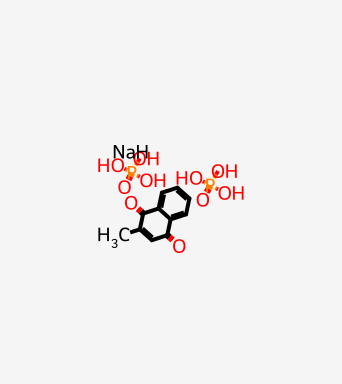 CC1=CC(=O)c2ccccc2C1=O.O=P(O)(O)O.O=P(O)(O)O.[NaH]